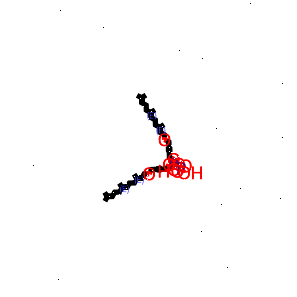 CC(C)=CCC/C(C)=C/CC/C(C)=C/COCC#CCOP(=O)(OCC#CCOC/C=C(\C)CC/C=C(\C)CCC=C(C)C)OP(=O)(O)O